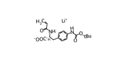 C=CC(=O)N[C@H](Cc1ccc(NC(=O)OC(C)(C)C)cc1)C(=O)[O-].[Li+]